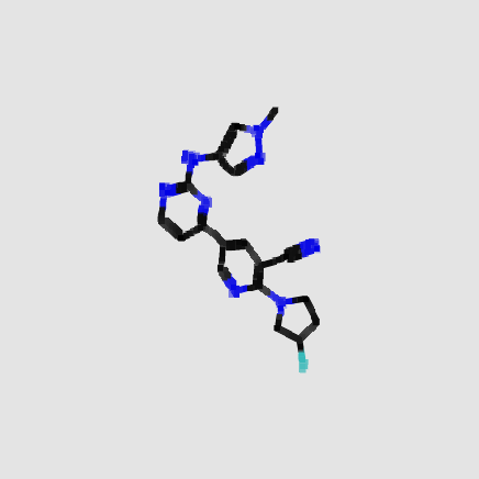 Cn1cc(Nc2nccc(-c3cnc(N4CCC(F)C4)c(C#N)c3)n2)cn1